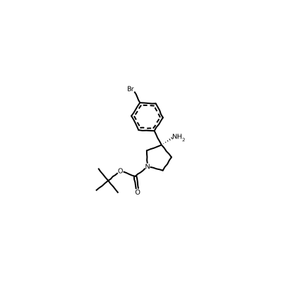 CC(C)(C)OC(=O)N1CC[C@](N)(c2ccc(Br)cc2)C1